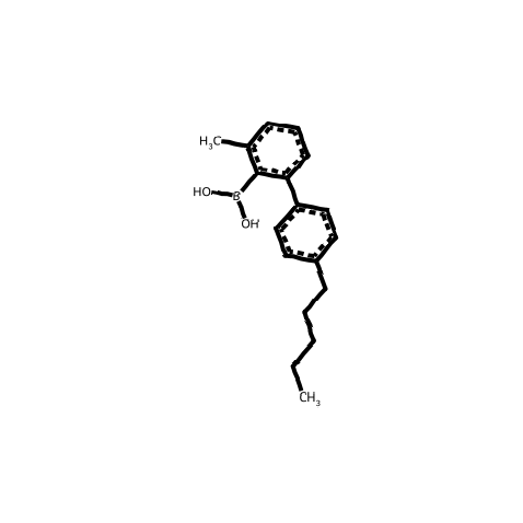 CCCCCc1ccc(-c2cccc(C)c2B(O)O)cc1